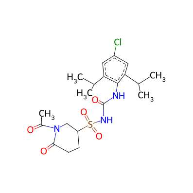 CC(=O)N1CC(S(=O)(=O)NC(=O)Nc2c(C(C)C)cc(Cl)cc2C(C)C)CCC1=O